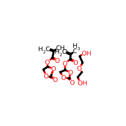 C=C(C)C(=O)OC1COC(=O)O1.C=C(C)C(=O)OC1COC(=O)O1.OCCOCCO